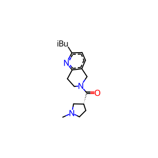 CCC(C)c1ccc2c(n1)CCN(C(=O)[C@@H]1CCN(C)C1)C2